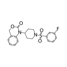 O=C1OCc2ccccc2N1C1CCN(S(=O)(=O)c2cccc(F)c2)CC1